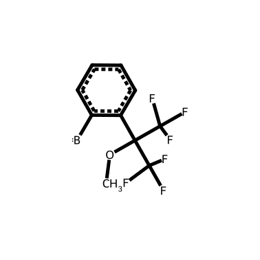 [B]c1ccccc1C(OC)(C(F)(F)F)C(F)(F)F